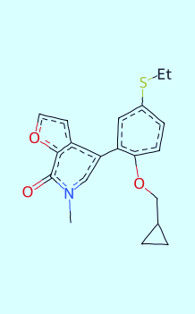 CCSc1ccc(OCC2CC2)c(-c2cn(C)c(=O)c3occc23)c1